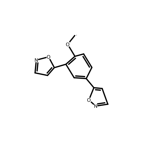 [CH2]Oc1ccc(-c2ccno2)cc1-c1ccno1